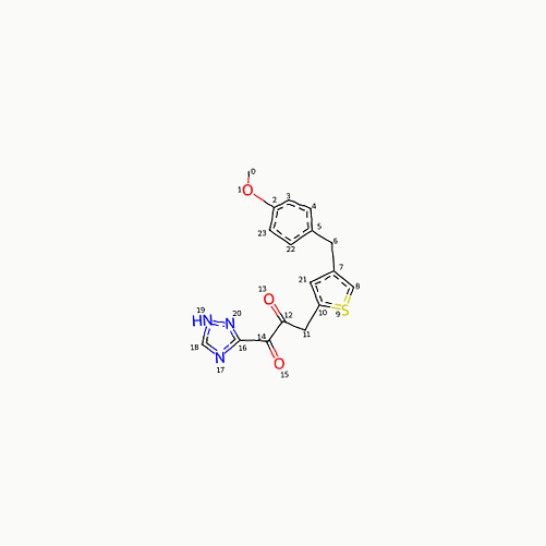 COc1ccc(Cc2csc(CC(=O)C(=O)c3nc[nH]n3)c2)cc1